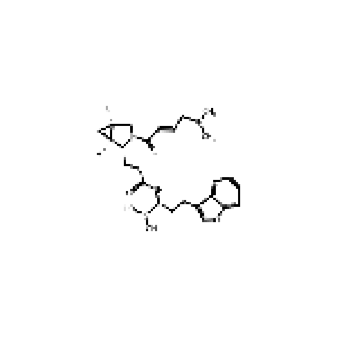 CN(C)C/C=C/C(=O)N1C[C@@H]2C[C@@H]2[C@@H]1COC(=O)N[C@@H](CCc1coc2ccccc12)B(O)O